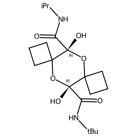 CC(C)NC(=O)[C@]1(O)OC2(CCC2)[C@](O)(C(=O)NC(C)(C)C)OC12CCC2